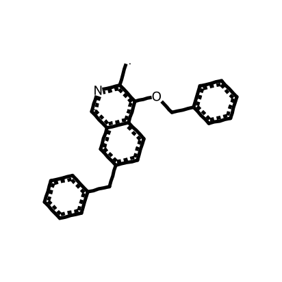 [CH2]c1ncc2cc(Cc3ccccc3)ccc2c1OCc1ccccc1